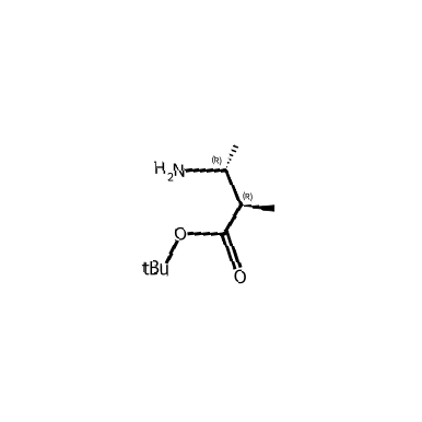 C[C@@H](N)[C@@H](C)C(=O)OC(C)(C)C